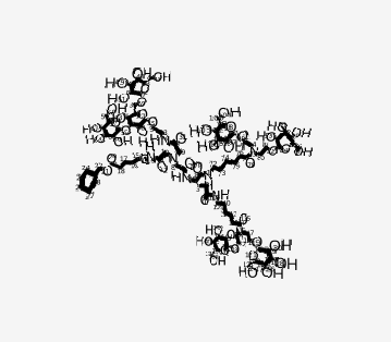 O=C(CC[C@H](NC(=O)CN(CC(=O)NCCCCCC(=O)OCc1ccccc1)CC(=O)NCCO[C@H]1O[C@H](CO[C@H]2O[C@H](CO)[C@@H](O)[C@H](O)[C@@H]2O)[C@@H](O)[C@H](O[C@H]2O[C@H](CO)[C@@H](O)[C@H](O)[C@@H]2O)[C@@H]1O)C(=O)NCCCCCC(=O)N(CCO[C@H]1O[C@H](CO)[C@@H](O)[C@H](O)[C@@H]1O)CCO[C@H]1O[C@H](CO)[C@@H](O)[C@H](O)[C@@H]1O)NCCCCCC(=O)N(CCO[C@H]1O[C@H](CO)[C@@H](O)[C@H](O)[C@@H]1O)CCO[C@H]1O[C@H](CO)[C@@H](O)[C@H](O)[C@@H]1O